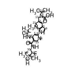 CC(C)Nc1cc(-n2ccc3cc(CN(C(=O)O)C(C)C)cnc32)ncc1C(=O)NC[C@@H](F)C(C)(C)O